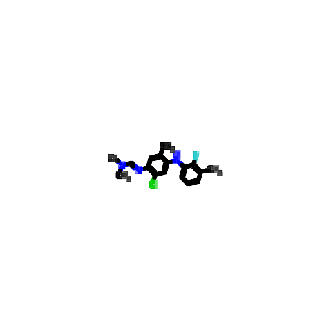 CCN(C)C=Nc1cc(C)c(Nc2cccc(C)c2F)cc1Cl